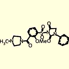 COc1c(C(=O)N2CCN(C)CC2)cccc1S(=O)(=O)N1C(=O)CN(c2ccccc2)C1=O